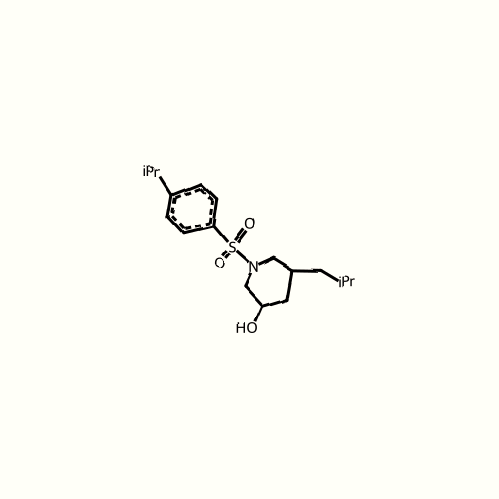 CC(C)CC1CC(O)CN(S(=O)(=O)c2ccc(C(C)C)cc2)C1